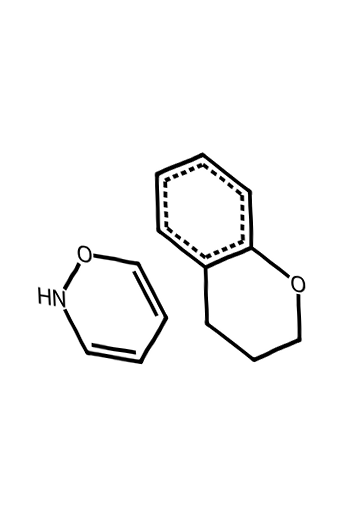 C1=CNOC=C1.c1ccc2c(c1)CCCO2